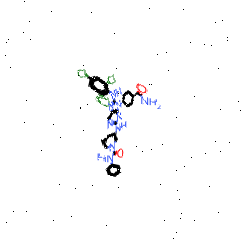 NC(=O)[C@H]1CC[C@H](n2c(Nc3c(Cl)cc(Cl)cc3Cl)nc3cnc(N[C@@H]4CCCN(C(=O)Nc5ccccc5)C4)nc32)CC1